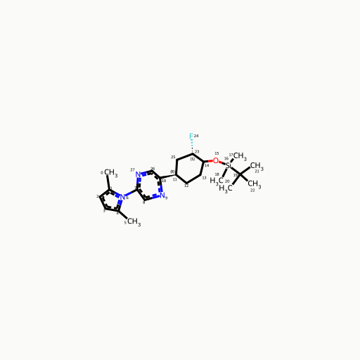 Cc1ccc(C)n1-c1cnc([C@@H]2CCC(O[Si](C)(C)C(C)(C)C)[C@@H](F)C2)cn1